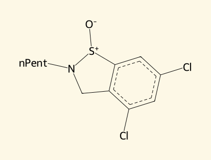 CCCCCN1Cc2c(Cl)cc(Cl)cc2[S+]1[O-]